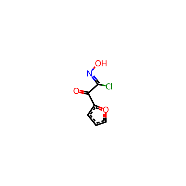 O=C(C(Cl)=NO)c1ccco1